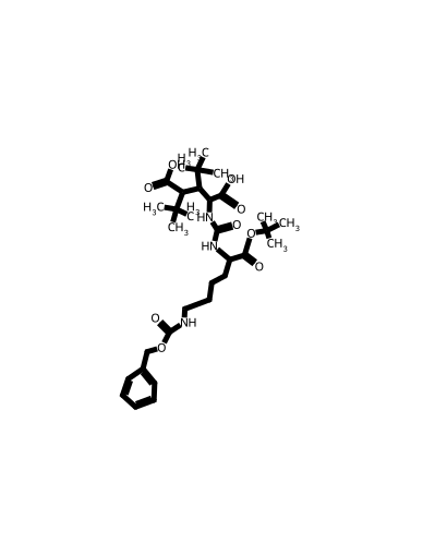 CC(C)(C)OC(=O)C(CCCCNC(=O)OCc1ccccc1)NC(=O)NC(C(=O)O)C(C(C(=O)O)C(C)(C)C)C(C)(C)C